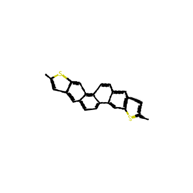 Cc1cc2cc3ccc4c5cc6sc(C)cc6cc5ccc4c3cc2s1